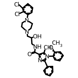 COc1ccccc1-n1c(-c2ccccc2)nc(C(=O)NCC(O)CN2CCN(c3cccc(Cl)c3Cl)CC2)c1C